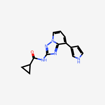 O=C(Nc1nc2c(-c3cc[nH]c3)cccn2n1)C1CC1